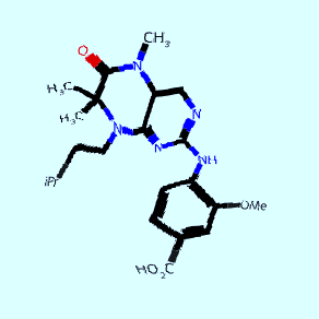 COc1cc(C(=O)O)ccc1NC1=NCC2C(=N1)N(CCC(C)C)C(C)(C)C(=O)N2C